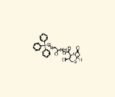 O=C(C=NOC(c1ccccc1)(c1ccccc1)c1ccccc1)NOC(=O)C1=C(Cl)CS[C@H]2CC(=O)N12